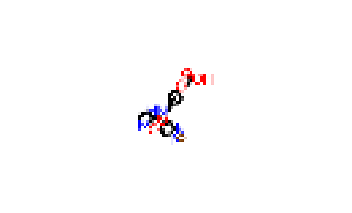 O=C(O)COC1CC2CCC1CC2CNC(=O)c1cccnc1Oc1ccc2nsnc2c1